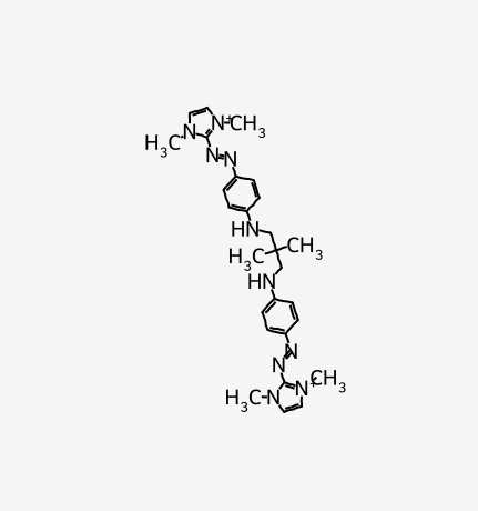 Cn1cc[n+](C)c1/N=N/c1ccc(NCC(C)(C)CNc2ccc(/N=N/c3n(C)cc[n+]3C)cc2)cc1